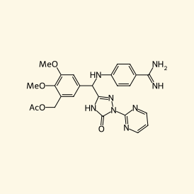 COc1cc(C(Nc2ccc(C(=N)N)cc2)c2nn(-c3ncccn3)c(=O)[nH]2)cc(COC(C)=O)c1OC